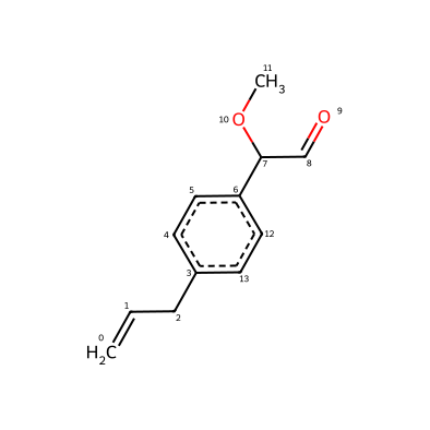 C=CCc1ccc(C(C=O)OC)cc1